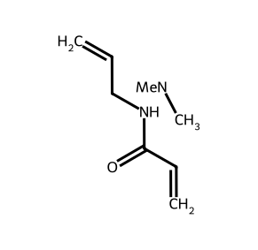 C=CCNC(=O)C=C.CNC